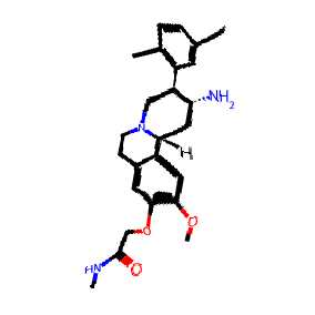 CNC(=O)COc1cc2c(cc1OC)[C@H]1C[C@@H](N)[C@H](c3cc(C)ccc3C)CN1CC2